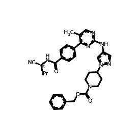 Cc1cnc(Nc2cnn(C3CCN(C(=O)OCc4ccccc4)CC3)c2)nc1-c1ccc(C(=O)N[C@H](C#N)C(C)C)cc1